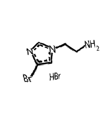 Br.NCCn1cnc(Br)c1